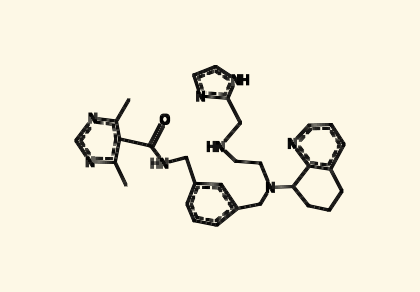 Cc1ncnc(C)c1C(=O)NCc1cccc(CN(CCNCc2ncc[nH]2)C2CCCc3cccnc32)c1